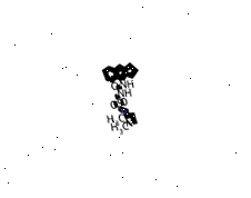 CN1CCC1(C)/C=C/S(=O)(=O)CNC(=O)Nc1c2c(cc3c1CCC3)CCCC2